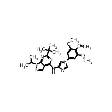 COc1cc(-n2cnc(Nc3nc(C(C)(C)C)nc4c3cnn4C(C)C)c2)cc(OC)c1OC